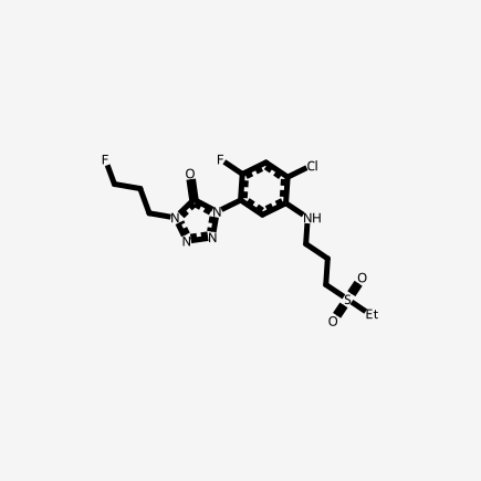 CCS(=O)(=O)CCCNc1cc(-n2nnn(CCCF)c2=O)c(F)cc1Cl